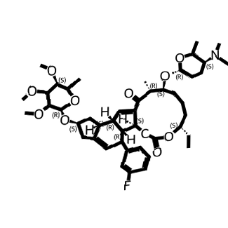 CC[C@H]1CCC[C@H](O[C@H]2CC[C@H](N(C)C)C(C)O2)[C@@H](C)C(=O)C2=C[C@@H]3[C@@H](C(c4cccc(F)c4)C=C4C[C@@H](O[C@@H]5OC(C)[C@H](OC)C(OC)C5OC)C[C@H]43)[C@@H]2CC(=O)O1